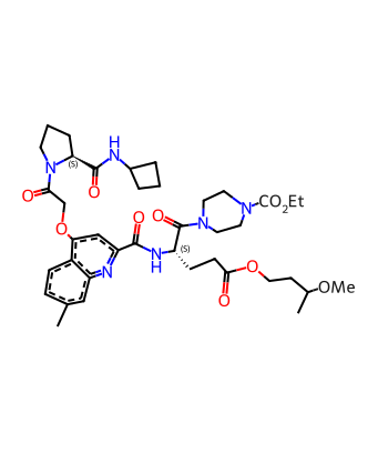 CCOC(=O)N1CCN(C(=O)[C@H](CCC(=O)OCCC(C)OC)NC(=O)c2cc(OCC(=O)N3CCC[C@H]3C(=O)NC3CCC3)c3ccc(C)cc3n2)CC1